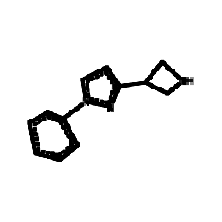 c1ccc(-n2ccc(C3CNC3)n2)cc1